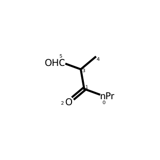 CCCC(=O)C(C)C=O